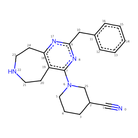 N#CC1CCCN(c2nc(Cc3ccccc3)nc3c2CCNCC3)C1